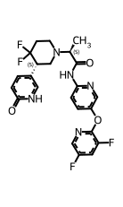 C[C@@H](C(=O)Nc1ccc(Oc2ncc(F)cc2F)cn1)N1CCC(F)(F)[C@@H](c2ccc(=O)[nH]c2)C1